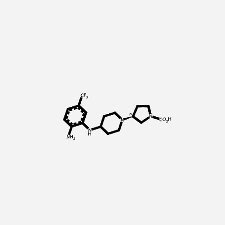 Nc1ccc(C(F)(F)F)cc1NC1CCN([C@H]2CCN(C(=O)O)C2)CC1